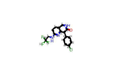 O=c1[nH]cc2ccc(NCC(F)(F)F)nc2c1-c1ccc(Cl)cc1